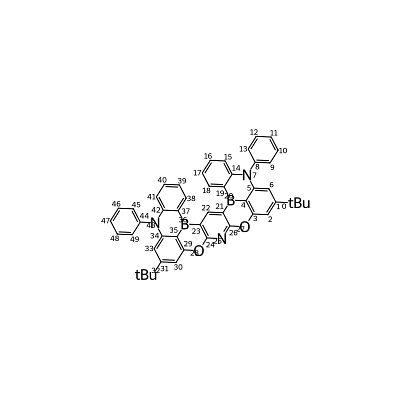 CC(C)(C)c1cc2c3c(c1)N(c1ccccc1)c1ccccc1B3c1cc3c(nc1O2)Oc1cc(C(C)(C)C)cc2c1B3c1ccccc1N2c1ccccc1